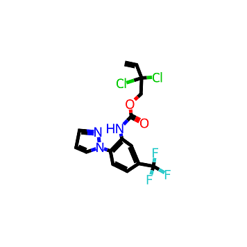 C=CC(Cl)(Cl)COC(=O)Nc1cc(C(F)(F)F)ccc1-n1cccn1